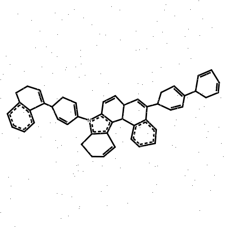 C1=CCC(C2=CCC(C3=CC4C=Cc5c(c6c(n5C5=CCC(C7=CCCc8ccccc87)C=C5)CCC=C6)C4c4ccccc43)C=C2)C=C1